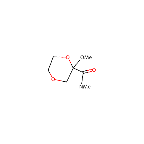 CNC(=O)C1(OC)COCCO1